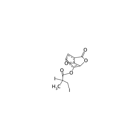 CC(I)(CI)C(=O)Oc1c2c3oc1cc3C(=O)O2